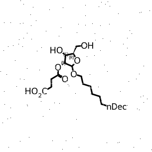 CCCCCCCCCCCCCCCCOC1O[C@H](CO)[C@H](O)[C@H]1OC(=O)CCC(=O)O